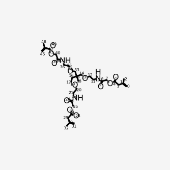 C=C(C)CC(=O)OCC(=O)NCCOCC(CC)(COCCNC(=O)COC(=O)CC(=C)C)COCCNC(=O)COC(=O)C(=C)C